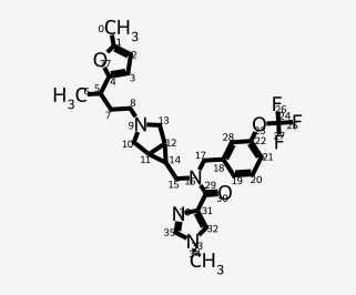 Cc1ccc(C(C)CCN2CC3C(C2)C3CN(Cc2cccc(OC(F)(F)F)c2)C(=O)c2cn(C)cn2)o1